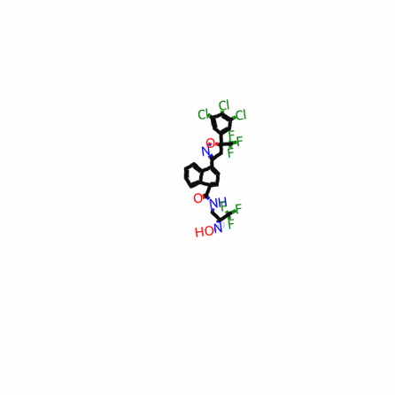 O=C(NC/C(=N\O)C(F)(F)F)c1ccc(C2=NOC(c3cc(Cl)c(Cl)c(Cl)c3)(C(F)(F)F)C2)c2ccccc12